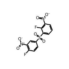 O=[N+]([O-])c1cc(S(=O)(=O)c2cccc([N+](=O)[O-])c2F)ccc1F